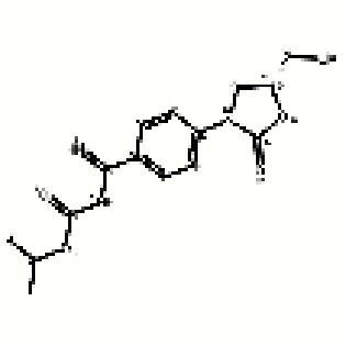 CC(C)OC(=O)NC(=N)c1ccc(N2C[C@H](CCl)OC2=O)cc1